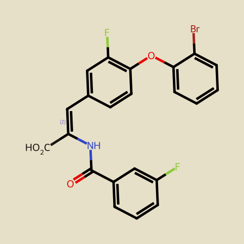 O=C(O)/C(=C/c1ccc(Oc2ccccc2Br)c(F)c1)NC(=O)c1cccc(F)c1